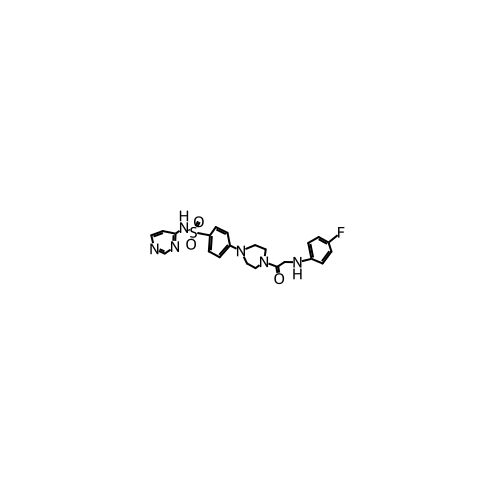 O=C(CNc1ccc(F)cc1)N1CCN(c2ccc(S(=O)(=O)Nc3ccncn3)cc2)CC1